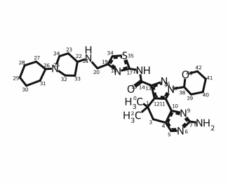 CC1(C)Cc2cnc(N)nc2-c2c1c(C(=O)Nc1nc(CNC3CCN(C4CCCCC4)CC3)cs1)nn2C1CCCCO1